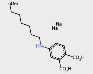 CCCCCCCCCCCCCCCCNc1ccc(C(=O)O)c(C(=O)O)c1.[Na].[Na]